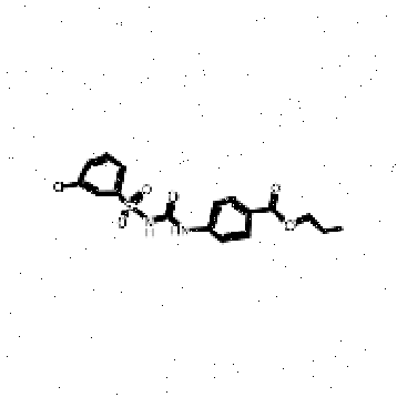 CCCOC(=O)c1ccc(NC(=O)NS(=O)(=O)c2cccc(Cl)c2)cc1